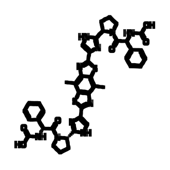 Cc1c2nc(-c3c[nH]c([C@@H]4CCCN4C(=O)[C@H](NC(=O)O)c4ccccc4)n3)sc2c(C)c2nc(-c3c[nH]c(C4CCCN4C(=O)C(NC(=O)O)c4ccccc4)n3)sc12